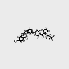 C[C@@H]1CN(c2ccc3ncn([C@H](C)c4ccc(Cl)cc4Cl)c3c2)CCN1C(=O)C1CCCN1C(=O)OC(C)(C)C